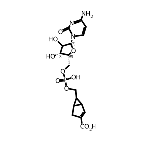 Nc1ccn([C@@H]2O[C@H](COP(=O)(O)OCC3C4C=C(C(=O)O)CC43)[C@H](O)C2O)c(=O)n1